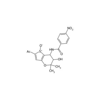 CC(=O)c1cc2c([s+]1[O-])C(NC(=O)c1ccc([N+](=O)[O-])cc1)C(O)C(C)(C)O2